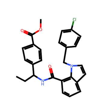 CCC(NC(=O)c1cccc2ccn(Cc3ccc(Cl)cc3)c12)c1ccc(C(=O)OC)cc1